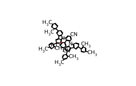 Cc1ccc(-c2ccc3c(c2)c2cc(-c4ccc(C)cc4C)ccc2n3-c2cc(C#N)cc(-n3c4ccc(-c5ccc(C)cc5C)cc4c4cc(-c5ccc(C)cc5C)ccc43)c2-c2cc(C#N)cc(C(F)(F)F)c2)c(C)c1